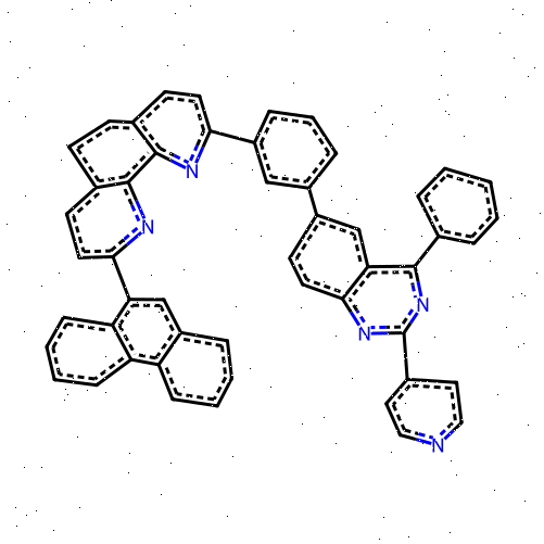 c1ccc(-c2nc(-c3ccncc3)nc3ccc(-c4cccc(-c5ccc6ccc7ccc(-c8cc9ccccc9c9ccccc89)nc7c6n5)c4)cc23)cc1